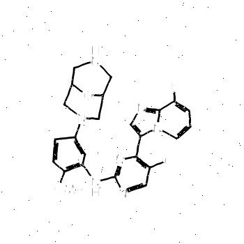 COc1ccc(N2CC3CNCC(C2)O3)cc1Nc1ncc(Cl)c(-c2cnc3c(F)cccn23)n1